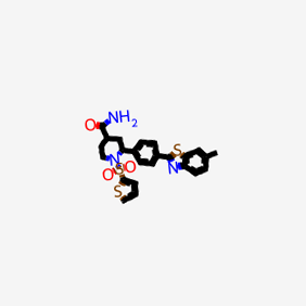 Cc1ccc2nc(-c3ccc(C4CC(C(N)=O)CCN4S(=O)(=O)c4cccs4)cc3)sc2c1